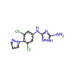 Nc1nc(Nc2cc(Cl)c(-n3cccn3)c(Cl)c2)n[nH]1